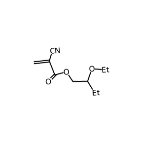 C=C(C#N)C(=O)OCC(CC)OCC